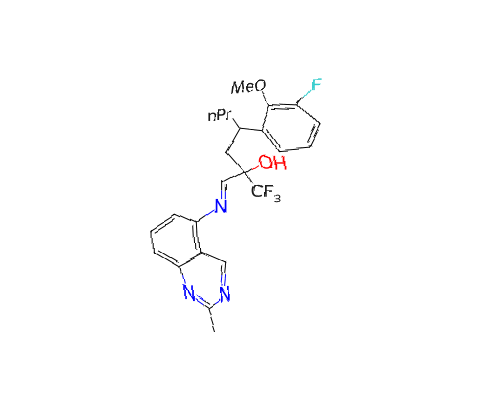 CCCC(CC(O)(C=Nc1cccc2nc(C)ncc12)C(F)(F)F)c1cccc(F)c1OC